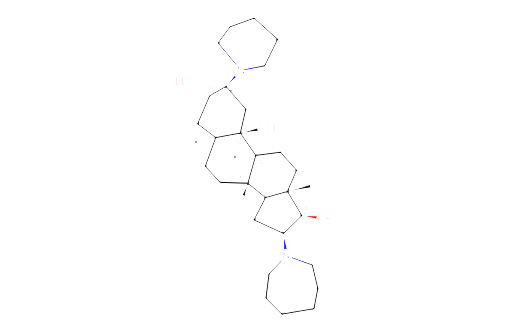 C[C@]12C[C@H](N3CCCCC3)[C@@H](O)C[C@@H]1CC[C@@H]1[C@@H]2CC[C@]2(C)[C@@H](O)[C@@H](N3CCCCCC3)C[C@@H]12